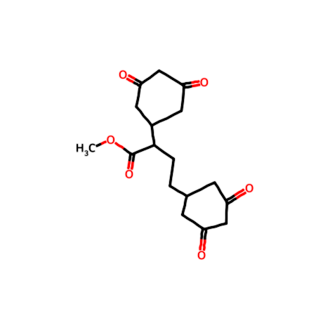 COC(=O)C(CCC1CC(=O)CC(=O)C1)C1CC(=O)CC(=O)C1